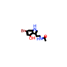 CC(=O)NCCc1c[nH]c2cc(Br)cc(O)c12